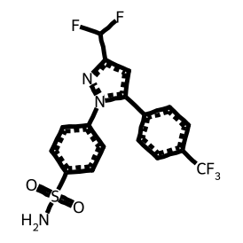 NS(=O)(=O)c1ccc(-n2nc(C(F)F)cc2-c2ccc(C(F)(F)F)cc2)cc1